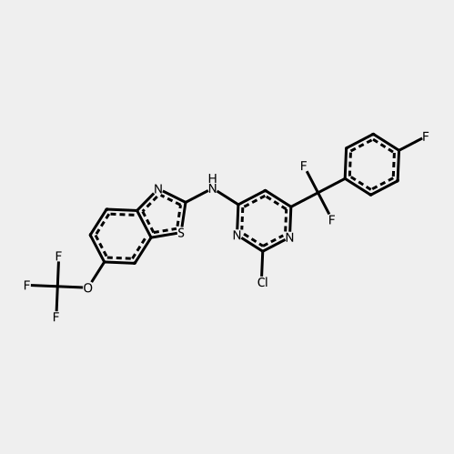 Fc1ccc(C(F)(F)c2cc(Nc3nc4ccc(OC(F)(F)F)cc4s3)nc(Cl)n2)cc1